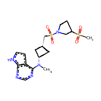 CN(c1ncnc2[nH]ccc12)[C@H]1C[C@@H](CS(=O)(=O)N2CCC(S(C)(=O)=O)C2)C1